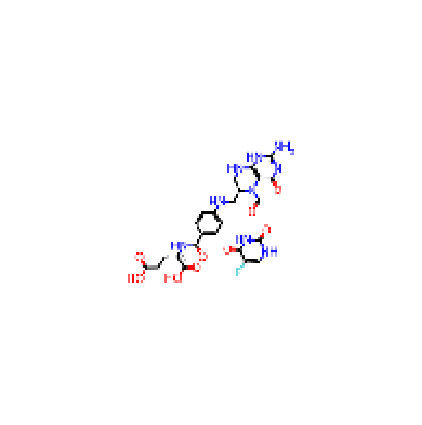 Nc1nc(=O)c2c([nH]1)NCC(CNc1ccc(C(=O)N[C@@H](CCC(=O)O)C(=O)O)cc1)N2C=O.O=c1[nH]cc(F)c(=O)[nH]1